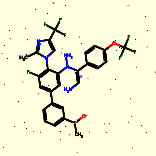 Cc1nc(C(F)(F)F)cn1-c1c(F)cc(-c2cccc([S+](C)[O-])c2)cc1N(N)/C(=C\N)c1ccc(OC(F)(F)F)cc1